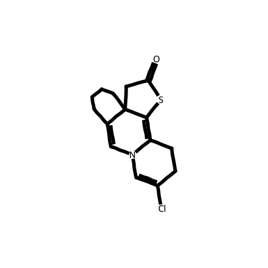 O=C1CC23CCCCC2=CN2C=C(Cl)CCC2=C3S1